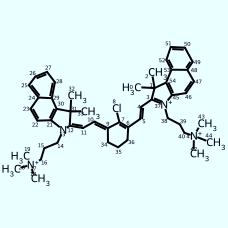 CC1(C)C(/C=C/C2=C(Cl)C(=C/C=C3/N(CCC[N+](C)(C)C)c4ccc5ccccc5c4C3(C)C)/CCC2)=[N+](CCC[N+](C)(C)C)c2ccc3ccccc3c21